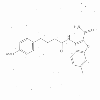 COc1ccc(CCCC(=O)Nc2c(C(N)=O)oc3cc(C)ccc23)cc1